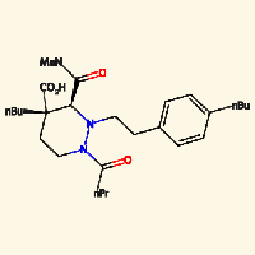 CCCCc1ccc(CCN2[C@H](C(=O)NC)[C@@](CCCC)(C(=O)O)CCN2C(=O)CCC)cc1